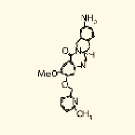 COc1cc2c(cc1OCc1cccc(C)n1)N=C[C@@H]1Cc3ccc(N)cc3CN1C2=O